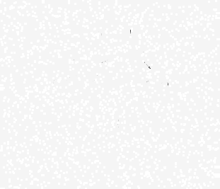 O=CC[C@H]1O[C@@H](c2ccc(Cl)c(Cc3ccc(C#CCO)cc3)c2)[C@H](O)[C@@H](O)[C@@H]1O